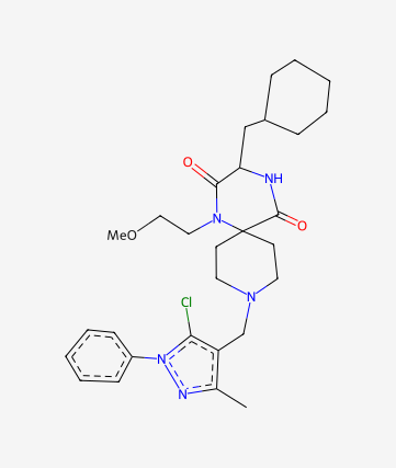 COCCN1C(=O)C(CC2CCCCC2)NC(=O)C12CCN(Cc1c(C)nn(-c3ccccc3)c1Cl)CC2